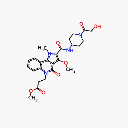 COC(=O)CCn1c(=O)c2c(OC)c(C(=O)NC3CCN(C(=O)CO)CC3)n(C)c2c2ccccc21